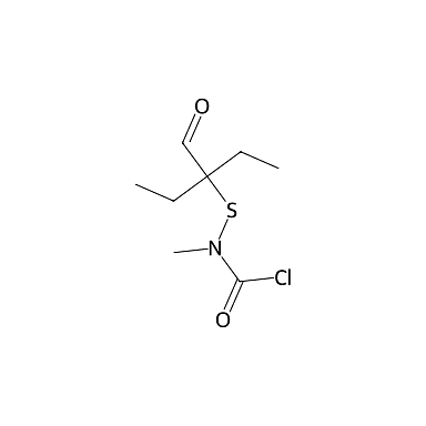 CCC(C=O)(CC)SN(C)C(=O)Cl